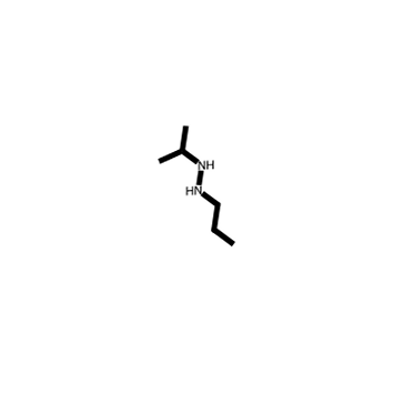 CCCNNC(C)C